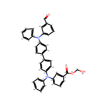 O=Cc1cccc(N(c2ccccc2)c2ccc(-c3ccc(N(c4ccccc4)c4cccc(C(=O)OCO)c4)cc3)cc2)c1